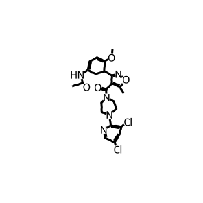 COC1=CC=C(NC(C)=O)CC1c1noc(C)c1C(=O)N1CCN(c2ncc(Cl)cc2Cl)CC1